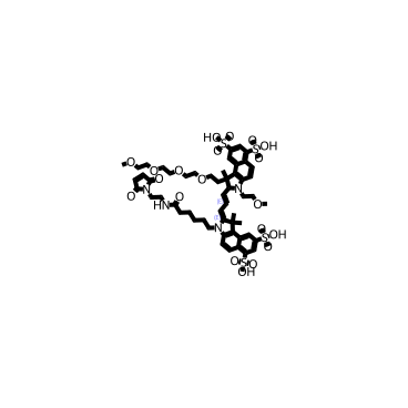 COCCOCCOCCOCCC1(C)c2c(ccc3c(S(=O)(=O)O)cc(S(=O)(=O)O)cc23)N(CCOC)C1/C=C/C=C1/N(CCCCCC(=O)NCCN2C(=O)C=CC2=O)c2ccc3c(S(=O)(=O)O)cc(S(=O)(=O)O)cc3c2C1(C)C